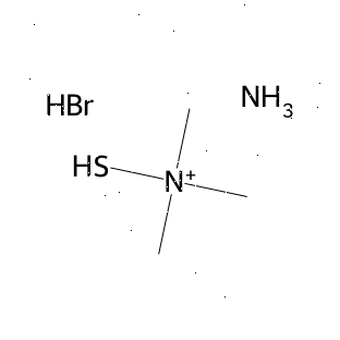 Br.C[N+](C)(C)S.N